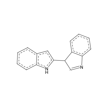 [C]1=Nc2ccccc2C1c1cc2ccccc2[nH]1